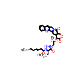 CCCCCCCCCCCCCCCC(=O)N[C@H](CC(=O)O)C(=O)NCC(=O)O[C@]1(CC)C(=O)OCc2c1cc1n(c2=O)Cc2cc3ccccc3nc2-1